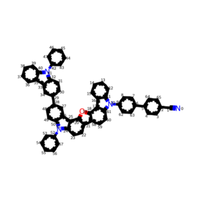 N#Cc1ccc(-c2ccc(-n3c4ccccc4c4c5oc6c(ccc7c6c6cc(-c8ccc9c(c8)c8ccccc8n9-c8ccccc8)ccc6n7-c6ccccc6)c5ccc43)cc2)cc1